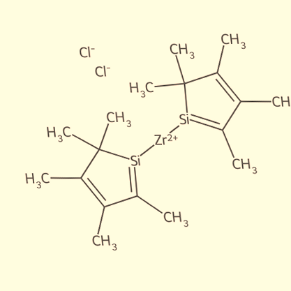 CC1=C(C)C(C)(C)[Si]([Zr+2][Si]2=C(C)C(C)=C(C)C2(C)C)=C1C.[Cl-].[Cl-]